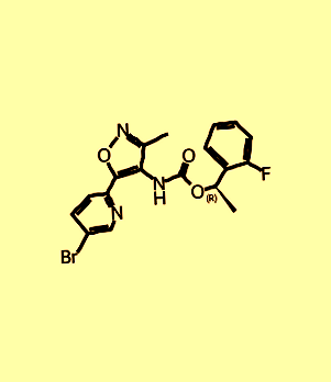 Cc1noc(-c2ccc(Br)cn2)c1NC(=O)O[C@H](C)c1ccccc1F